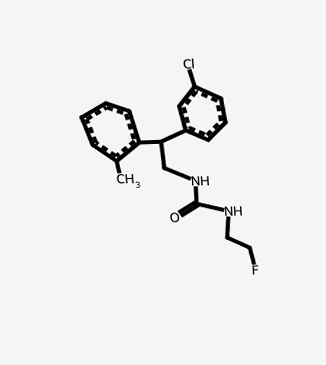 Cc1ccccc1C(CNC(=O)NCCF)c1cccc(Cl)c1